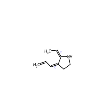 C=C/C=C1/CCN/C1=C/C